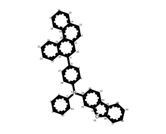 c1ccc(N(c2ccc(-c3cc4ccc5ccccc5c4c4ccccc34)cc2)c2ccc3c(c2)oc2ccccc23)cc1